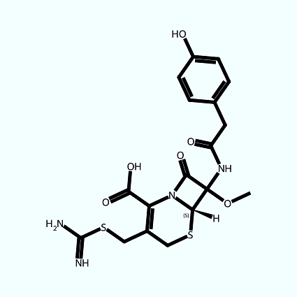 COC1(NC(=O)Cc2ccc(O)cc2)C(=O)N2C(C(=O)O)=C(CSC(=N)N)CS[C@H]21